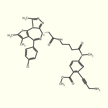 COC(=O)c1ccc(N(C)C(=O)CCCNC(=O)C[C@@H]2N=C(c3ccc(Cl)cc3)c3c(sc(C)c3C)-n3c(C)nnc32)cc1C#CCN